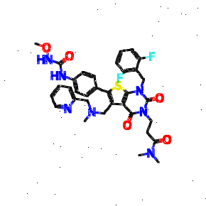 CONC(=O)Nc1ccc(-c2sc3c(c2CN(C)Cc2ccccn2)c(=O)n(CCC(=O)N(C)C)c(=O)n3Cc2c(F)cccc2F)cc1